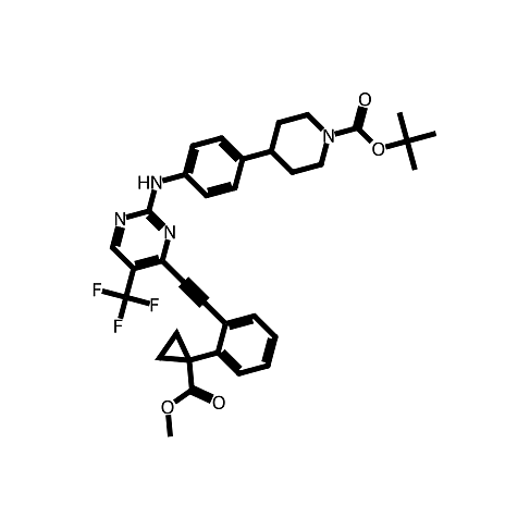 COC(=O)C1(c2ccccc2C#Cc2nc(Nc3ccc(C4CCN(C(=O)OC(C)(C)C)CC4)cc3)ncc2C(F)(F)F)CC1